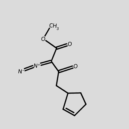 COC(=O)C(=[N+]=[N-])C(=O)CC1C=CCC1